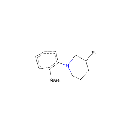 CCC1CCCN(c2ccccc2NC)C1